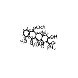 CCCCCCCCC1c2cccc(O)c2C(=O)C2=C(O)[C@]3(O)C(=O)C(C(N)=O)=C(O)C[C@@H]3CC21